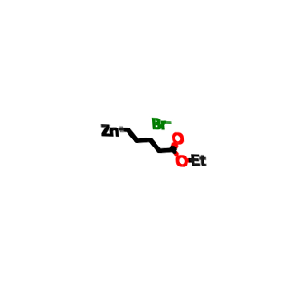 CCOC(=O)CCC[CH2][Zn+].[Br-]